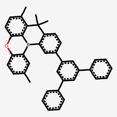 Cc1ccc2c(c1)B1c3cc(-c4cc(-c5ccccc5)cc(-c5ccccc5)c4)ccc3C(C)(C)c3c(C)ccc(c31)O2